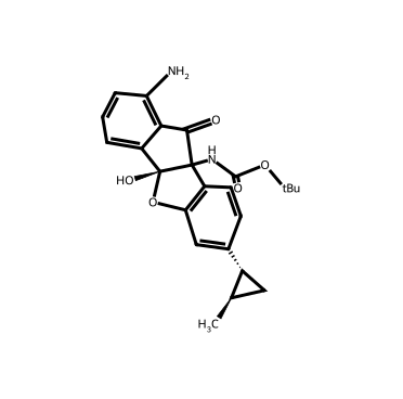 C[C@@H]1C[C@H]1c1ccc2c(c1)O[C@]1(O)c3cccc(N)c3C(=O)C21NC(=O)OC(C)(C)C